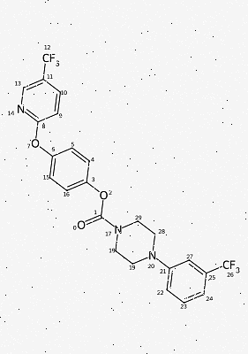 O=C(Oc1ccc(Oc2ccc(C(F)(F)F)cn2)cc1)N1CCN(c2cccc(C(F)(F)F)c2)CC1